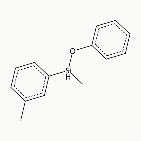 Cc1cccc([SiH](C)Oc2ccccc2)c1